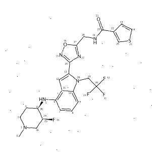 CN1CC[C@@H](Nc2cccc3c2cc(-c2noc(CNC(=O)c4ccsc4)n2)n3CC(F)(F)F)[C@@H](F)C1